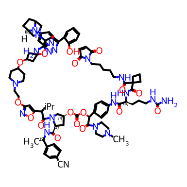 CC(C)C(C(=O)N1C[C@H](OC(=O)OC(C(=O)N2CCN(C)CC2)c2ccc(NC(=O)[C@H](CCCNC(N)=O)NC(=O)C3(C(=O)NCCCCCN4C(=O)C=CC4=O)CCC3)cc2)C[C@H]1C(=O)N[C@@H](C)c1ccc(C#N)cc1)c1cc(OCCN2CCC(OC3CC(Oc4cc(N5C6CC[C@@H]5CN(c5cc(-c7ccccc7O)nnc5N)C6)ccn4)C3)CC2)no1